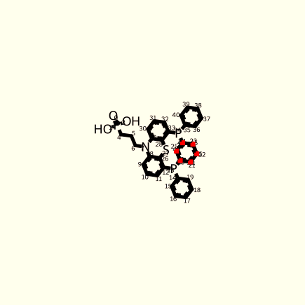 O=P(O)(O)CCCN1c2cccc(P(c3ccccc3)c3ccccc3)c2Sc2c1cccc2P(c1ccccc1)c1ccccc1